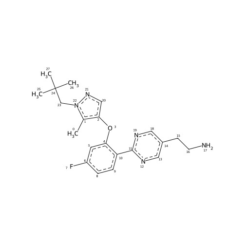 Cc1c(Oc2cc(F)ccc2-c2ncc(CCN)cn2)cnn1CC(C)(C)C